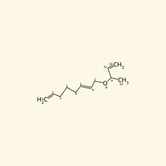 C=CCCCC=CCOC(C)C=C